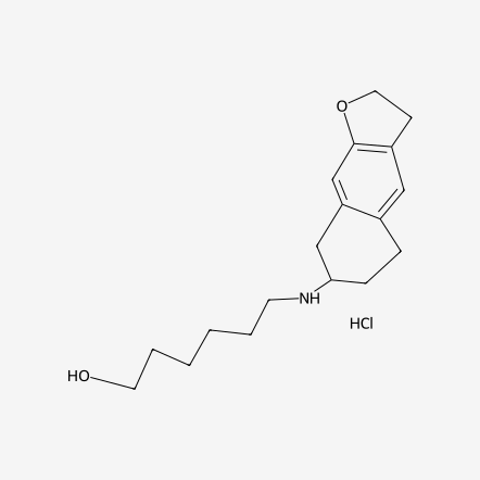 Cl.OCCCCCCNC1CCc2cc3c(cc2C1)OCC3